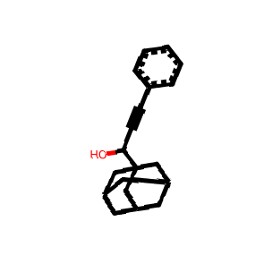 OC(C#Cc1ccccc1)C12CC3CC(CC(C3)C1)C2